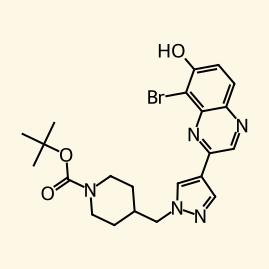 CC(C)(C)OC(=O)N1CCC(Cn2cc(-c3cnc4ccc(O)c(Br)c4n3)cn2)CC1